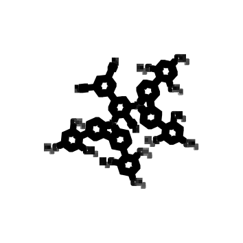 Cc1cc(C)c(-c2ccc3c(c2)c2cc(-c4c(C)cc(C)cc4C)ccc2n3-c2cc(-c3cc(C#N)cc(C#N)c3)cc(-n3c4ccc(-c5c(C)cc(C)cc5C)cc4c4cc(-c5c(C)cc(C)cc5C)ccc43)c2C#N)c(C)c1